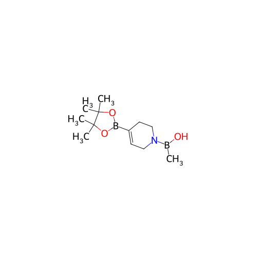 CB(O)N1CC=C(B2OC(C)(C)C(C)(C)O2)CC1